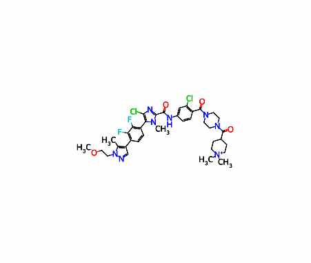 COCCn1ncc(-c2ccc(-c3c(Cl)nc(C(=O)Nc4ccc(C(=O)N5CCN(C(=O)C6CC[N+](C)(C)CC6)CC5)c(Cl)c4)n3C)c(F)c2F)c1C